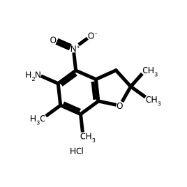 Cc1c(C)c2c(c([N+](=O)[O-])c1N)CC(C)(C)O2.Cl